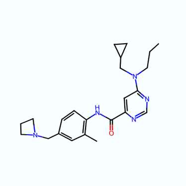 CCCN(CC1CC1)c1cc(C(=O)Nc2ccc(CN3CCC3)cc2C)ncn1